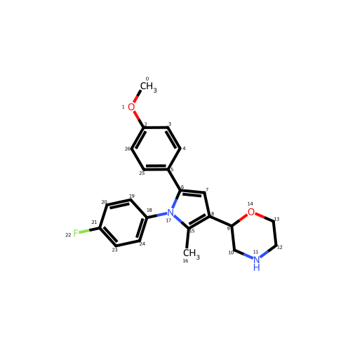 COc1ccc(-c2cc(C3CNCCO3)c(C)n2-c2ccc(F)cc2)cc1